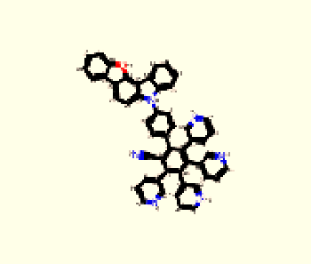 N#Cc1c(-c2ccc(-n3c4ccccc4c4c5oc6ccccc6c5ccc43)cc2)c(-c2cccnc2)c(-c2cccnc2)c(-c2cccnc2)c1-c1cccnc1